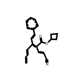 C=CC=CC(C=Cc1ccccc1)=C(C=CC#N)C(=O)OC1CCC1